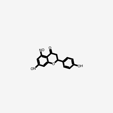 O=Nc1cc(N=O)c2c(c1)OC(c1ccc(O)cc1)CC2=O